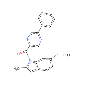 Cc1cc2ccc(CC(=O)O)cc2n1C(=O)c1cnc(-c2ccccc2)cn1